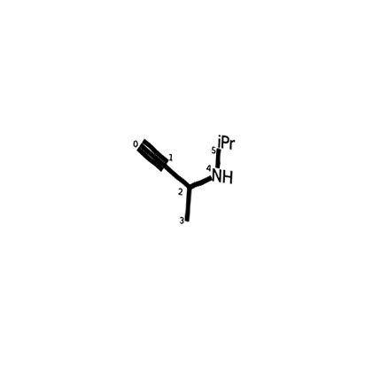 C#CC(C)NC(C)C